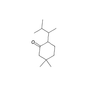 CC(C)C(C)C1CCC(C)(C)CC1=O